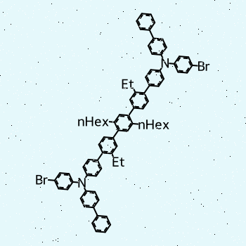 CCCCCCc1cc(-c2ccc(-c3ccc(N(c4ccc(Br)cc4)c4ccc(-c5ccccc5)cc4)cc3)c(CC)c2)c(CCCCCC)cc1-c1ccc(-c2ccc(N(c3ccc(Br)cc3)c3ccc(-c4ccccc4)cc3)cc2)c(CC)c1